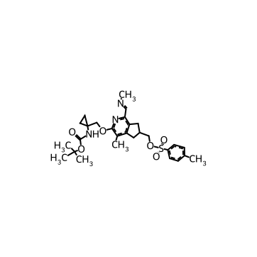 CN=Cc1nc(OCC2(NC(=O)OC(C)(C)C)CC2)c(C)c2c1CC(COS(=O)(=O)c1ccc(C)cc1)C2